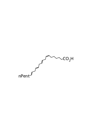 CCCCCC=CCC=CCC=CC/C=C\CCCCCC(=O)O